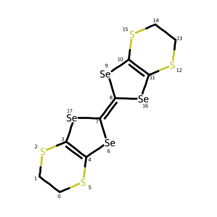 C1CSC2=C(S1)[Se]C(=C1[Se]C3=C(SCCS3)[Se]1)[Se]2